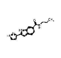 CCCNC(=O)c1ccc2cc(-c3cc[nH]n3)[nH]c2c1